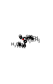 Cn1cc(Nc2nccc(-c3ccc4c(c3)CN([C@@H]3CCOC3)CC[C@@H]4NC(=O)c3noc(C(C)(C)C)n3)n2)cn1